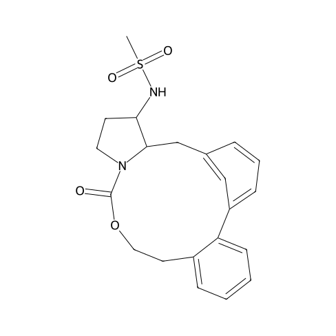 CS(=O)(=O)NC1CCN2C(=O)OCCc3ccccc3-c3cccc(c3)CC12